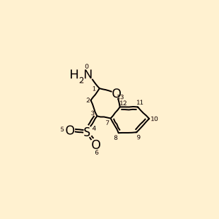 NC1CC(=S(=O)=O)c2ccccc2O1